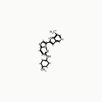 Cc1cncc2cc(-c3cnc4ccc(NC5CCC(C)CC5)nn34)sc12